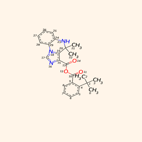 CC(C)(C)c1ccccc1C(=O)OC(=O)c1ncn2c1C(C)(C)Nc1ccccc1-2